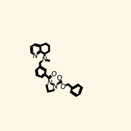 CN(Cc1cccc(C(=O)N2CCCN2C(=O)OCc2ccccc2)c1)C1CCCc2cccnc21